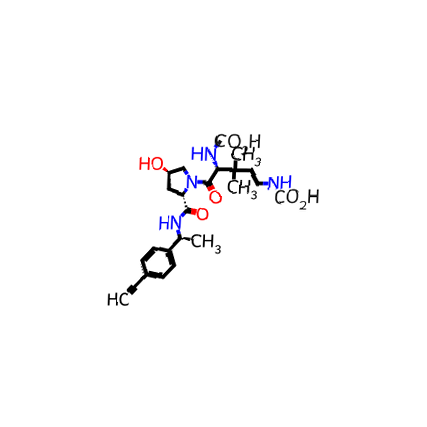 C#Cc1ccc([C@H](C)NC(=O)[C@@H]2C[C@@H](O)CN2C(=O)[C@@H](NC(=O)O)C(C)(C)CCNC(=O)O)cc1